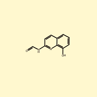 O=CNc1ccc2cccc(O)c2n1